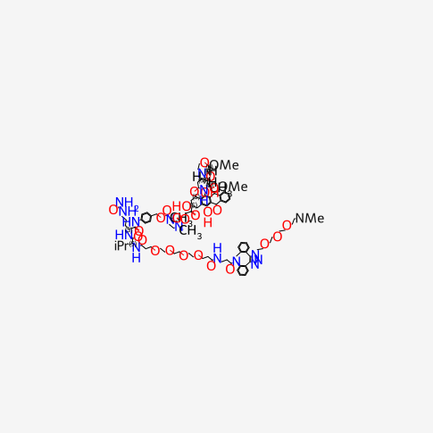 CNCCOCCOCCOCCn1nnc2c1-c1ccccc1CN(C(=O)CCNC(=O)CCOCCOCCOCCOCCC(=O)N[C@H](C(=O)N[C@@H](CCCNC(N)=O)C(=O)Nc1ccc(COC(=O)N(C)CCN(C)C(=O)OCC(=O)[C@]3(O)Cc4c(O)c5c(c(O)c4[C@@H](OC4C[C@H]6[C@H](O[C@@H]7[C@@H](OC)OCCN76)[C@H](C)N4)C3)C(=O)c3c(OC)cccc3C5=O)cc1)C(C)C)c1ccccc1-2